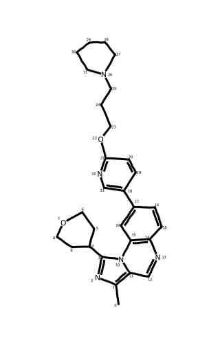 Cc1nc(C2CCOCC2)n2c1cnc1ccc(-c3ccc(OCCCN4CCCCC4)nc3)cc12